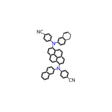 N#Cc1ccc(N(c2ccc3c(c2)C=CCC3)c2ccc3ccc4c(N(c5ccc(C#N)cc5)c5ccc6ccccc6c5)ccc5ccc2c3c54)cc1